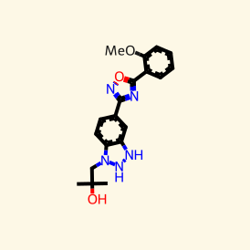 COc1ccccc1-c1nc(-c2ccc3c(c2)NNN3CC(C)(C)O)no1